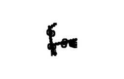 C=C=C=C=CC(CCCCC)CCOC(=O)CCCCCCCC1(CCCCCCCC(=O)OCCC(C)CCCCC)OCC(CCN(C)CC)O1